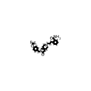 NC(=O)c1ccccc1[CH]CCN1CCC2(CC1)CC(=O)N(Cc1ccc(OC(F)F)cc1)C2